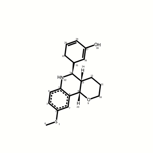 CSc1ccc2c(c1)[C@H]1OCCC[C@H]1[C@H](C1C=C(O)C=CC1)N2